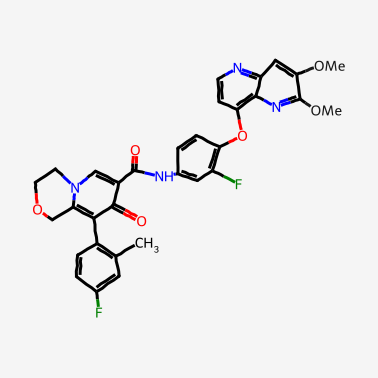 COc1cc2nccc(Oc3ccc(NC(=O)c4cn5c(c(-c6ccc(F)cc6C)c4=O)COCC5)cc3F)c2nc1OC